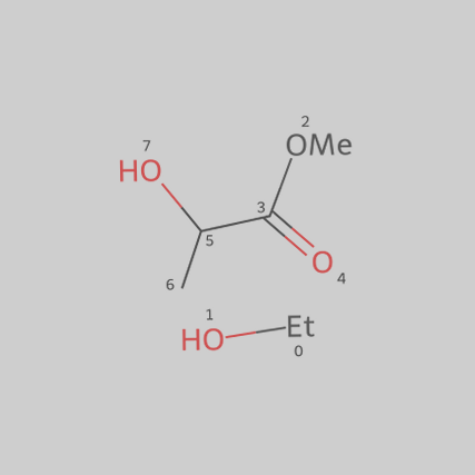 CCO.COC(=O)C(C)O